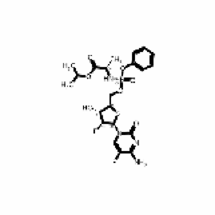 CC(C)OC(=O)[C@H](C)N[P@](=O)(OC[C@H]1S[C@@H](n2cc(F)c(N)nc2=O)[C@@H](F)[C@@H]1O)Oc1ccccc1